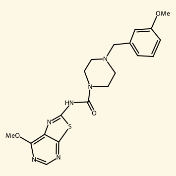 COc1cccc(CN2CCN(C(=O)Nc3nc4c(OC)ncnc4s3)CC2)c1